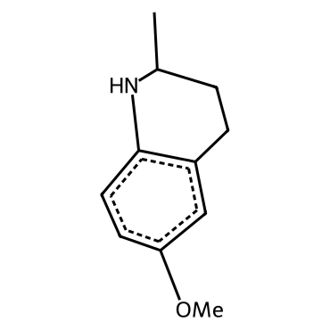 COc1ccc2c(c1)CCC(C)N2